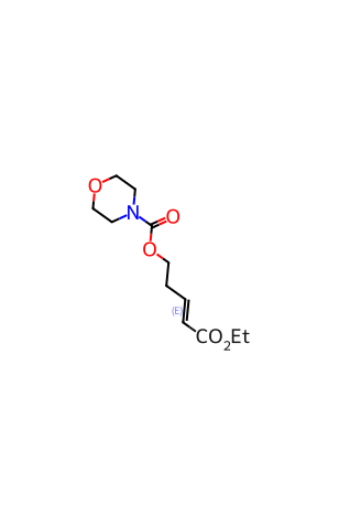 CCOC(=O)/C=C/CCOC(=O)N1CCOCC1